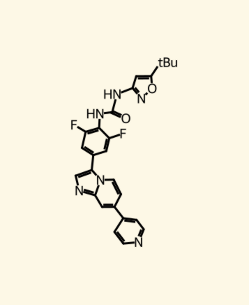 CC(C)(C)c1cc(NC(=O)Nc2c(F)cc(-c3cnc4cc(-c5ccncc5)ccn34)cc2F)no1